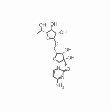 Nc1ccn([C@@H]2O[C@H](COC3O[C@H](C(O)I)[C@@H](O)[C@@H]3O)[C@@H](O)[C@]2(O)F)c(=O)n1